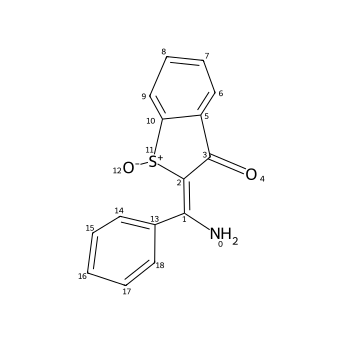 NC(=C1C(=O)c2ccccc2[S+]1[O-])c1ccccc1